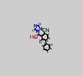 N#Cc1ccc(-c2ccccc2)c(I)c1C(O)n1cncn1